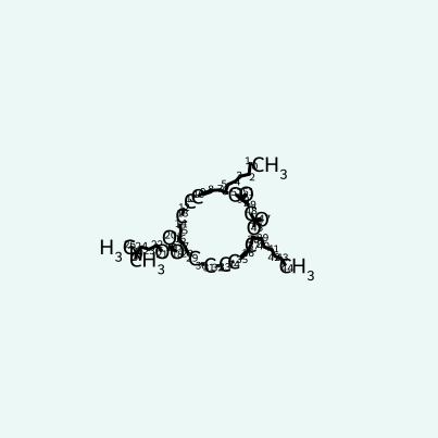 CCCCCCC1CC=CCCCCCCCC(OC(=O)OCCCN(C)C)CCCCCCCC=CCC(CCCCCC)OC(=O)CCC(=O)O1